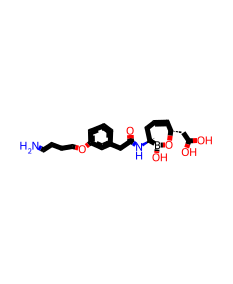 NCCCCOc1cccc(CC(=O)N[C@H]2CC=C[C@H](CC(O)O)OB2O)c1